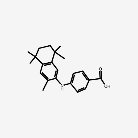 Cc1cc2c(cc1Nc1ccc(C(=O)O)cc1)C(C)(C)CCC2(C)C